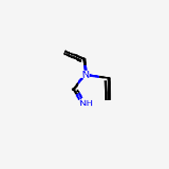 C=CN(C=C)C=N